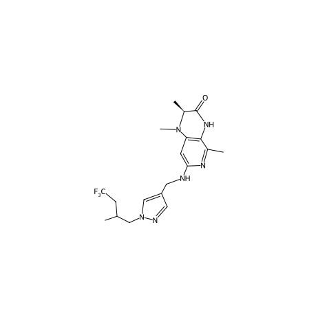 Cc1nc(NCc2cnn(CC(C)CC(F)(F)F)c2)cc2c1NC(=O)[C@H](C)N2C